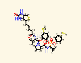 CSc1ccc(OP(=O)(Oc2ccc(SC)cc2)C(NC(=O)C2CCCN2C(=O)C(NC(=O)CCCCC2SCC3NC(=O)NC32)C(C)C)C(C)C)cc1